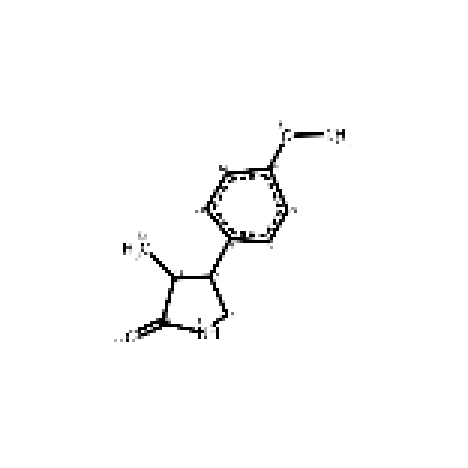 COc1ccc(C2CNC(=O)C2C)cc1